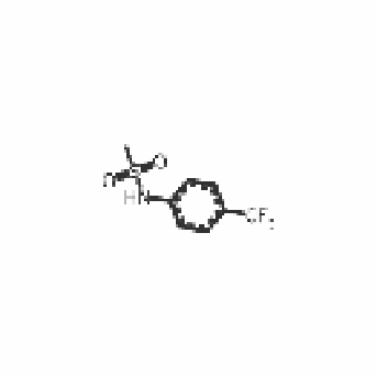 CS(=O)(=O)Nc1ccc(C(F)(F)F)cc1